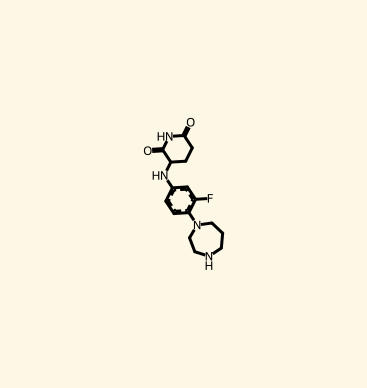 O=C1CCC(Nc2ccc(N3CCCNCC3)c(F)c2)C(=O)N1